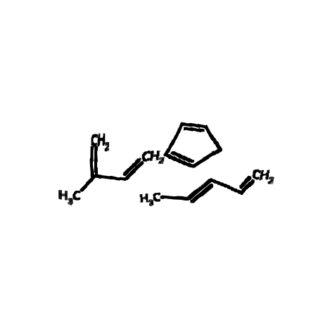 C1=CCC=C1.C=CC(=C)C.C=CC=CC